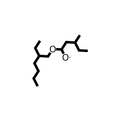 CCCCC(CC)COC([O])CC(C)CC